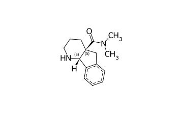 CN(C)C(=O)[C@]12CCCN[C@H]1c1ccccc1C2